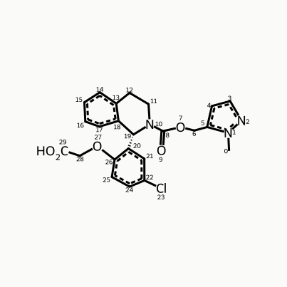 Cn1nccc1COC(=O)N1CCc2ccccc2[C@H]1c1cc(Cl)ccc1OCC(=O)O